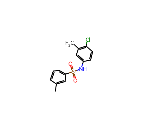 Cc1cccc(S(=O)(=O)Nc2ccc(Cl)c(C(F)(F)F)c2)c1